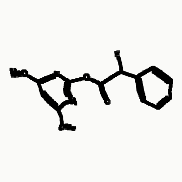 COc1cc(OC)nc(OC(=O)C(F)c2ccccc2)n1